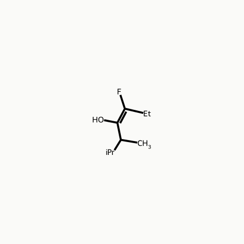 CC/C(F)=C(/O)C(C)C(C)C